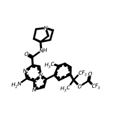 Cc1ccc(C(C)(OC(=O)C(F)(F)F)C(F)(F)F)cc1-c1cnc2c(N)nc(C(=O)NC34CCN(CC3)C4)cn12